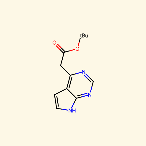 CC(C)(C)OC(=O)Cc1ncnc2[nH]ccc12